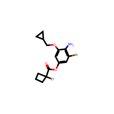 CCC1(C(=O)Oc2cc(Br)c(N)c(OCC3CC3)c2)CCC1